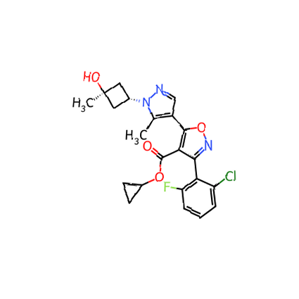 Cc1c(-c2onc(-c3c(F)cccc3Cl)c2C(=O)OC2CC2)cnn1[C@H]1C[C@](C)(O)C1